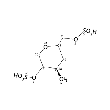 O=S(=O)(O)OCC1C[C@@H](O)C(OS(=O)(=O)O)CO1